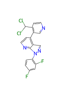 Fc1ccc(-n2ncc3c(-c4cnccc4C(Cl)Cl)ccnc32)c(F)c1